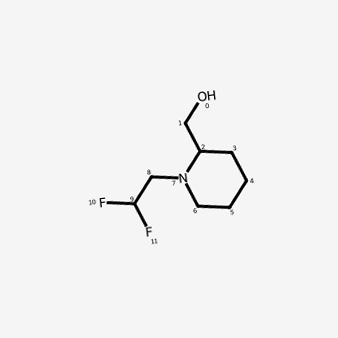 OCC1CCCCN1CC(F)F